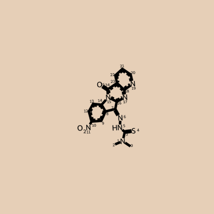 CN(C)C(=S)NN=C1c2cc([N+](=O)[O-])ccc2-n2c1nc1ncccc1c2=O